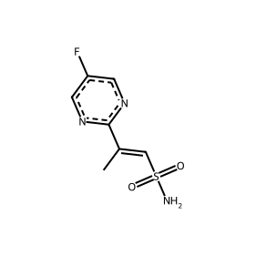 CC(=CS(N)(=O)=O)c1ncc(F)cn1